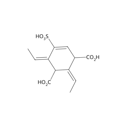 CC=C1C(S(=O)(=O)O)=CC(C(=O)O)C(=CC)C1C(=O)O